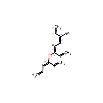 C=C/C=C(\C=C)O/C(C=C)=C/C=C(\C=C)C(C)C